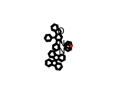 c1ccc(-c2c3c(cc4c2c2cccc(N(c5ccccc5)c5cccc6c5-c5ccccc5C65c6ccccc6-c6ccccc65)c2n4-c2ccccc2)oc2ccccc23)cc1